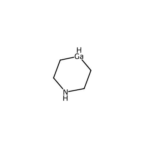 C1[CH2][GaH][CH2]CN1